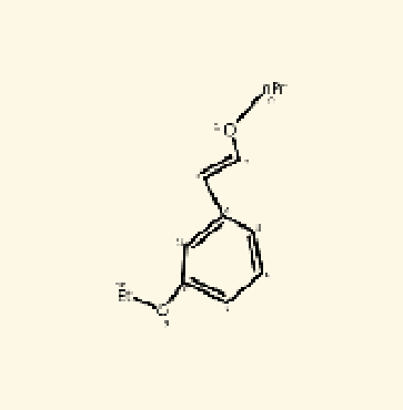 CCCOC=Cc1cccc(OCC)c1